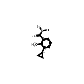 CCN(CC)C(=O)c1cccc(C2CC2)c1C